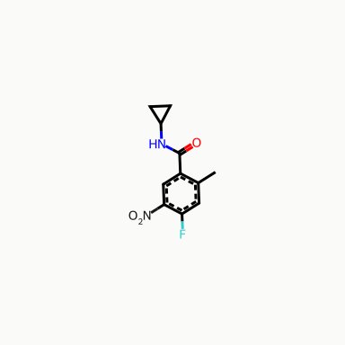 Cc1cc(F)c([N+](=O)[O-])cc1C(=O)NC1CC1